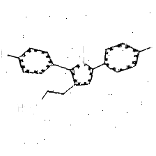 O=C(O)CCc1cc(-c2ccc(F)cc2)[nH]c1-c1ccc(F)cc1